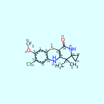 CC1(C)C2=C(Sc3cc(OC(F)(F)F)c(Cl)cc3N2)C(=O)NC12CC2